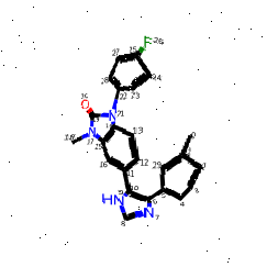 Cc1cccc(-c2nc[nH]c2-c2ccc3c(c2)n(C)c(=O)n3-c2ccc(F)cc2)c1